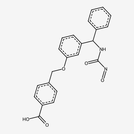 O=NC(=O)NC(c1ccccc1)c1cccc(OCc2ccc(C(=O)O)cc2)c1